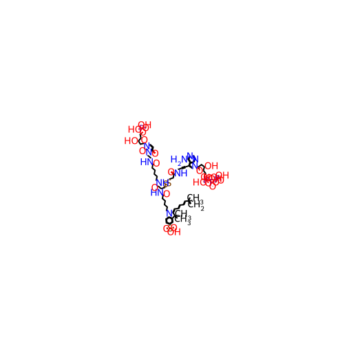 C=C(C)/C=C/C=C/C=C1/N(CCCCCC(=O)NC(CSSCCC(=O)NCC#Cc2cn(C3CC(O)C(COP(=O)(O)OP(=O)(O)OP(=O)(O)O)O3)c3ncnc(N)c23)C(=O)NCCCCCC(=O)NCCn2c(=O)ccn(C3CC(O)C(COP(=O)(O)O)O3)c2=O)c2ccc(S(=O)(=O)O)cc2C1(C)C